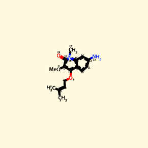 COc1c(OCC=C(C)C)c2ccc(N)cc2n(C)c1=O